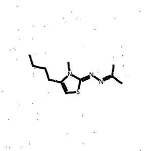 CCCCc1csc(=NN=C(C)C)n1C